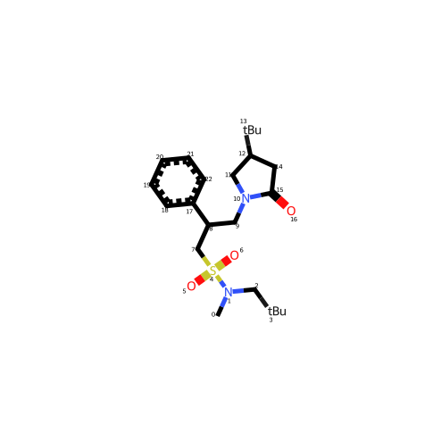 CN(CC(C)(C)C)S(=O)(=O)CC(CN1CC(C(C)(C)C)CC1=O)c1ccccc1